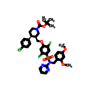 COc1ccc(CN(c2ncccn2)S(=O)(=O)c2cc(F)c(OC[C@@H]3CN(C(=O)OC(C)(C)C)CC[C@H]3c3ccc(Cl)cc3)cc2F)c(OC)c1